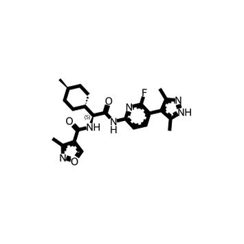 Cc1nocc1C(=O)N[C@H](C(=O)Nc1ccc(-c2c(C)n[nH]c2C)c(F)n1)[C@H]1CC[C@H](C)CC1